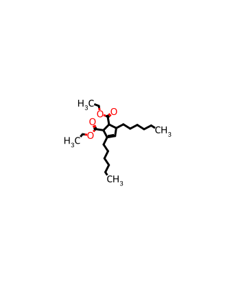 CCCCCCC1=CC(CCCCCC)C(C(=O)OCC)C1C(=O)OCC